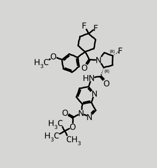 COc1cccc(C2(C(=O)N3C[C@H](F)C[C@@H]3C(=O)Nc3ccc4c(cnn4C(=O)OC(C)(C)C)n3)CCC(F)(F)CC2)c1